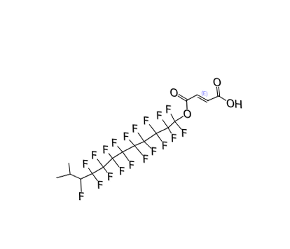 CC(C)C(F)C(F)(F)C(F)(F)C(F)(F)C(F)(F)C(F)(F)C(F)(F)C(F)(F)C(F)(F)C(F)(F)OC(=O)/C=C/C(=O)O